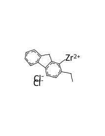 CCc1ccc2c([c]1[Zr+2])Cc1ccccc1-2.[Cl-].[Cl-]